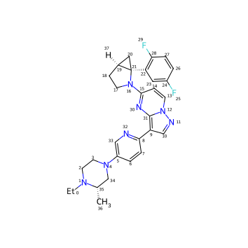 CCN1CCN(c2ccc(-c3cnn4ccc(N5CC[C@H]6C[C@]65c5cc(F)ccc5F)nc34)nc2)C[C@@H]1C